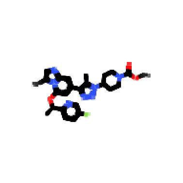 Cc1c(-c2cc(O[C@H](C)c3ccc(F)cn3)n3c(C#N)cnc3c2)nnn1C1CCN(C(=O)OC(C)(C)C)CC1